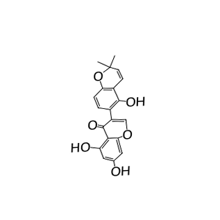 CC1(C)C=Cc2c(ccc(-c3coc4cc(O)cc(O)c4c3=O)c2O)O1